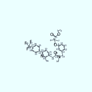 CCOC(=O)C(C)(C)Oc1cccc(CN(C)C(=O)Cc2ccc(-c3ccc(C(F)(F)F)cc3)nc2C)c1